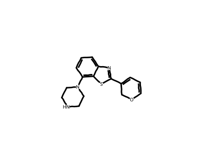 C1=COCC(c2nc3cccc(N4CCNCC4)c3s2)=C1